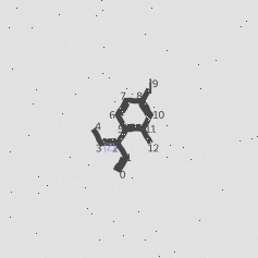 C=C/C(=C/C)c1ccc(I)cc1C